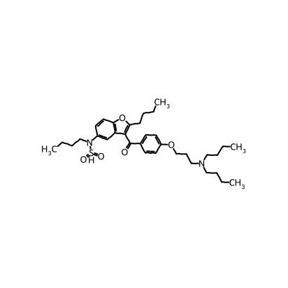 CCCCc1oc2ccc(N(CCCC)[SH](=O)=O)cc2c1C(=O)c1ccc(OCCCN(CCCC)CCCC)cc1